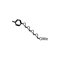 COCOCOCOCOc1ccc(C)cc1